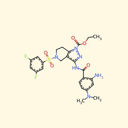 CCOC(=O)n1nc(NC(=O)c2ccc(N(C)C)cc2N)c2c1CCN(S(=O)(=O)c1cc(F)cc(F)c1)C2